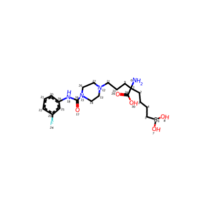 NC(CCCCB(O)O)(CCCN1CCN(C(=O)Nc2cccc(F)c2)CC1)C(=O)O